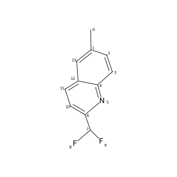 Cc1ccc2nc(C(F)F)ccc2c1